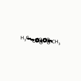 CC=CC(=O)O[C@H]1CC[C@H](C(=O)Oc2ccc(OCCCCC)cc2)CC1